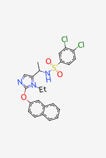 CCn1c(C(C)NS(=O)(=O)c2ccc(Cl)c(Cl)c2)cnc1Oc1ccc2ccccc2c1